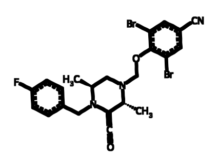 C[C@@H]1C(=C=O)N(Cc2ccc(F)cc2)[C@@H](C)CN1COc1c(Br)cc(C#N)cc1Br